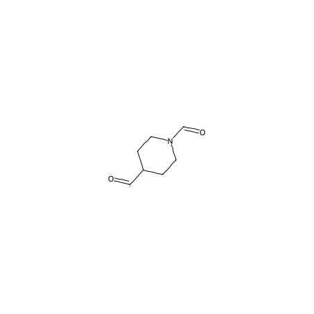 O=[C]C1CCN(C=O)CC1